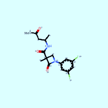 COC(=O)CC(C)NC(=O)C1(C)CN(c2cc(F)cc(F)c2)C1=O